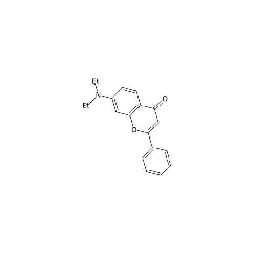 CCN(CC)c1ccc2c(=O)cc(-c3ccccc3)oc2c1